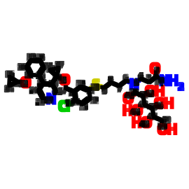 NC(=O)CCN(CCCCSc1ccc(Cl)c(COC2(c3cnccc3-c3ccccc3OC3CC3)CC2)c1)C(=O)[C@@H](O)[C@@H](O)[C@H](O)[C@@H](O)CO